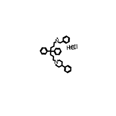 CN(CCCC(CCCN1CCC(c2ccccc2)CC1)(c1ccccc1)c1ccccc1)Cc1ccccc1.Cl.Cl